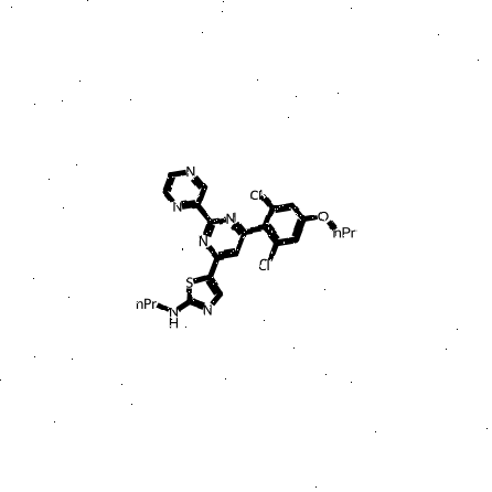 CCCNc1ncc(-c2cc(-c3c(Cl)cc(OCCC)cc3Cl)nc(-c3cnccn3)n2)s1